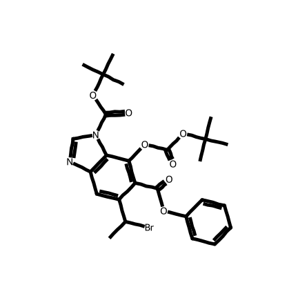 CC(Br)c1cc2ncn(C(=O)OC(C)(C)C)c2c(OC(=O)OC(C)(C)C)c1C(=O)Oc1ccccc1